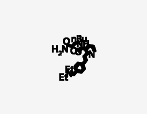 CCCCC(NC(=O)c1cccnc1C=Cc1ccc(CN(CC)CC)cc1)C(=O)C(N)=O